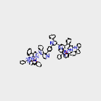 c1ccc(-c2cc(-c3cc(-c4ccccc4-c4cc(-n5c6ccccc6c6ccccc65)nc(-n5c6ccccc6c6ccccc65)c4)cc(-c4cc(-c5ccccc5)nc(-c5ccc(-c6nccc7c6c6ccccc6n7-c6cc(-c7ccccc7-c7nc(-c8ccccc8)nc(-c8ccccc8)n7)cc(-n7c8ccccc8c8ccccc87)n6)cc5)c4)n3)cc(-c3ccccc3)n2)cc1